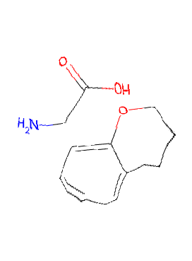 NCC(=O)O.c1ccc2c(c1)CCCO2